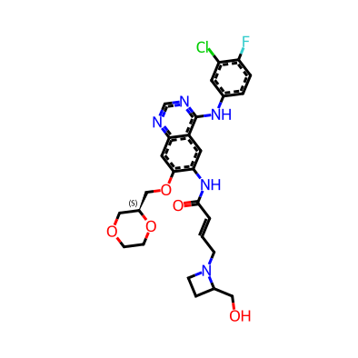 O=C(C=CCN1CCC1CO)Nc1cc2c(Nc3ccc(F)c(Cl)c3)ncnc2cc1OC[C@@H]1COCCO1